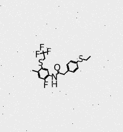 CCSc1ccc(CC(=O)Nc2cc(SCC(F)(F)F)c(C)cc2F)cc1